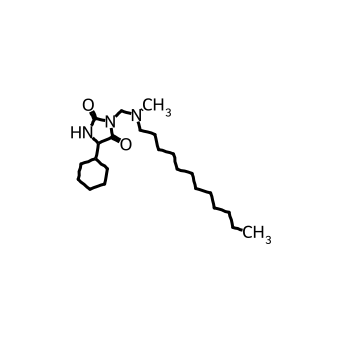 CCCCCCCCCCCCN(C)CN1C(=O)NC(C2CCCCC2)C1=O